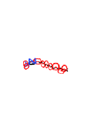 CC(C)(C)OC(=O)CCOCCOCCOCCOCCOc1ccc([N+](=O)[O-])cn1